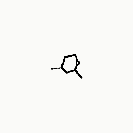 CC1C[C@H](C)CCO1